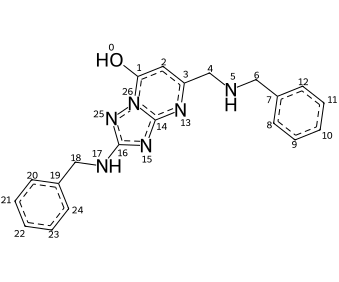 Oc1cc(CNCc2ccccc2)nc2nc(NCc3ccccc3)nn12